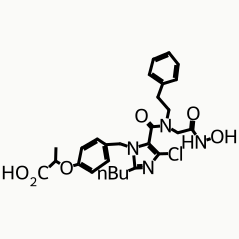 CCCCc1nc(Cl)c(C(=O)N(CCc2ccccc2)CC(=O)NO)n1Cc1ccc(OC(C)C(=O)O)cc1